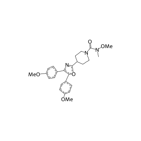 COc1ccc(-c2nc(C3CCN(C(=O)N(C)OC)CC3)oc2-c2ccc(OC)cc2)cc1